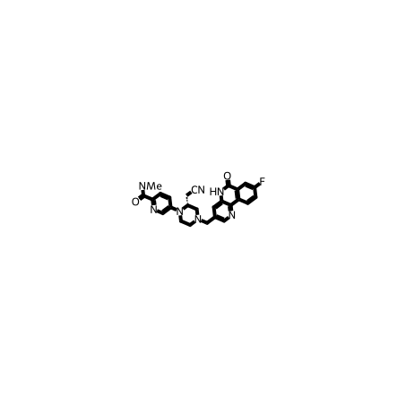 CNC(=O)c1ccc(N2CCN(Cc3cnc4c(c3)[nH]c(=O)c3cc(F)ccc34)C[C@H]2CC#N)cn1